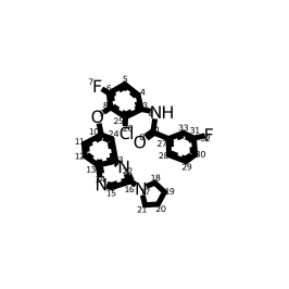 O=C(Nc1ccc(F)c(Oc2ccc3ncc(N4CCCC4)nc3c2)c1Cl)c1cccc(F)c1